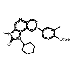 COc1ncc(-c2ccc3ncc4c(c3c2)n(C2CCCCC2)c(=O)n4C)cc1C